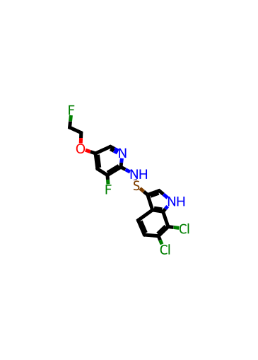 FCCOc1cnc(NSc2c[nH]c3c(Cl)c(Cl)ccc23)c(F)c1